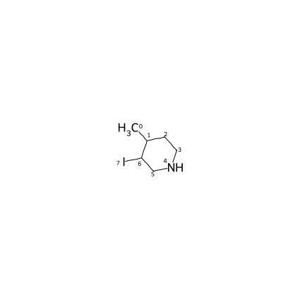 CC1CCNCC1I